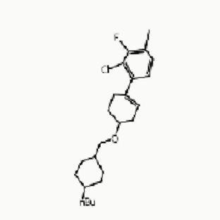 CCCCC1CCC(COC2CC=C(c3ccc(C)c(F)c3Cl)CC2)CC1